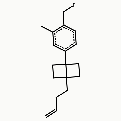 C=CCCC12CCC1(c1ccc(CF)c(C)c1)CC2